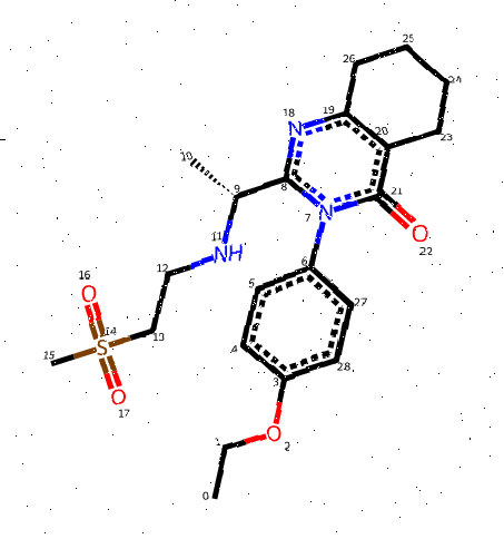 CCOc1ccc(-n2c([C@@H](C)NCCS(C)(=O)=O)nc3c(c2=O)CCCC3)cc1